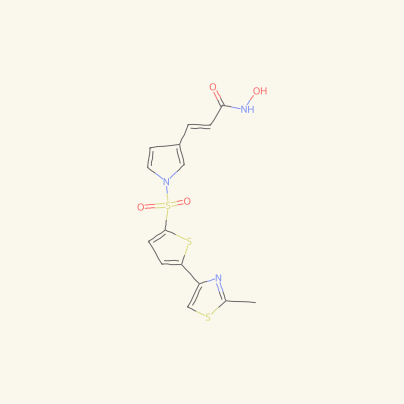 Cc1nc(-c2ccc(S(=O)(=O)n3ccc(C=CC(=O)NO)c3)s2)cs1